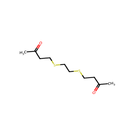 CC(=O)CCSCCSCCC(C)=O